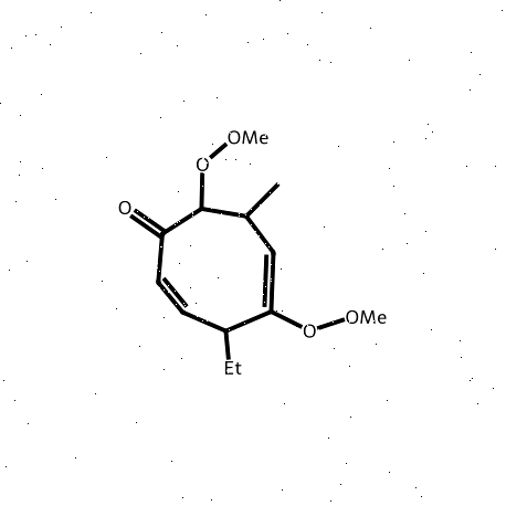 CCC1C=CC(=O)C(OOC)C(C)C=C1OOC